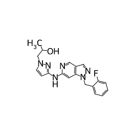 CC(O)Cn1ccc(Nc2cc3c(cn2)cnn3Cc2ccccc2F)n1